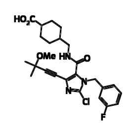 COC(C)(C)C#Cc1nc(Cl)n(Cc2cccc(F)c2)c1C(=O)NCC1CCC(C(=O)O)CC1